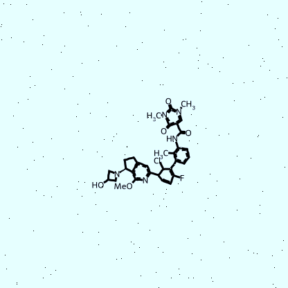 COc1nc(C2C=CC(F)=C(c3cccc(NC(=O)c4cn(C)c(=O)n(C)c4=O)c3C)C2Cl)cc2c1[C@@H](N1CC(O)C1)CC2